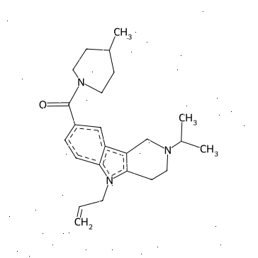 C=CCn1c2c(c3cc(C(=O)N4CCC(C)CC4)ccc31)CN(C(C)C)CC2